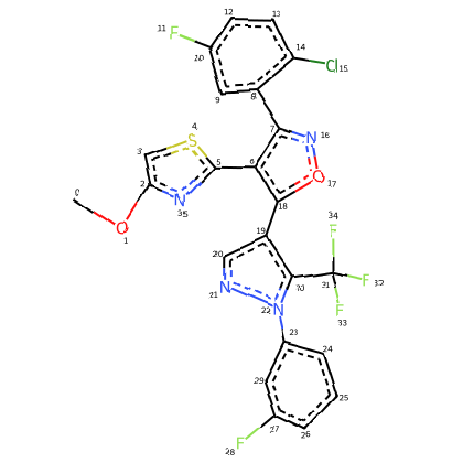 COc1csc(-c2c(-c3cc(F)ccc3Cl)noc2-c2cnn(-c3cccc(F)c3)c2C(F)(F)F)n1